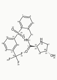 O=C(NCc1ccccc1S(=O)(=O)c1cccc(C(F)(F)F)c1)[C@@H]1C[C@@H](O)CN1